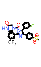 CS(=O)(=O)c1ccc(C2N=C(c3cccc(C(F)(F)F)c3)N(C(=O)N3CCNC(=O)C3)C2c2cccc(F)c2)cc1